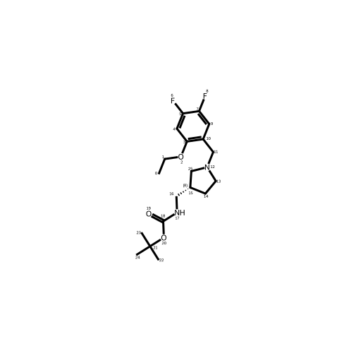 CCOc1cc(F)c(F)cc1CN1CC[C@H](CNC(=O)OC(C)(C)C)C1